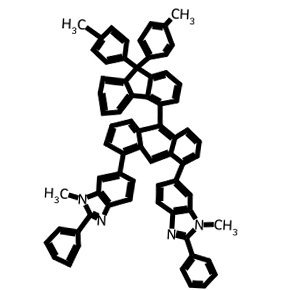 Cc1ccc(C2(c3ccc(C)cc3)c3ccccc3-c3c(-c4c5cccc(-c6ccc7nc(-c8ccccc8)n(C)c7c6)c5cc5c(-c6ccc7nc(-c8ccccc8)n(C)c7c6)cccc45)cccc32)cc1